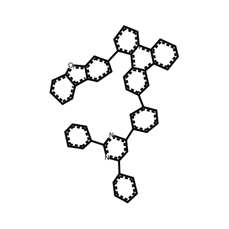 c1ccc(-c2cc(-c3cccc(-c4ccc5c(c4)c4ccccc4c4cccc(-c6ccc7c(c6)oc6ccccc67)c45)c3)nc(-c3ccccc3)n2)cc1